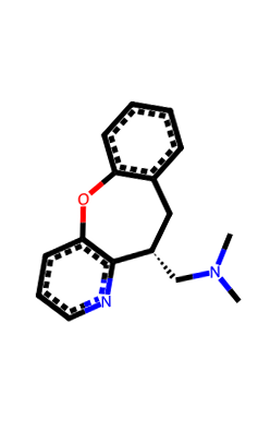 CN(C)C[C@H]1Cc2ccccc2Oc2cccnc21